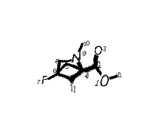 COC(=O)C12CC(F)(CN1C)C2